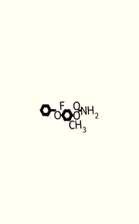 Cc1cc(OCc2ccccc2)c(F)cc1OC(N)=O